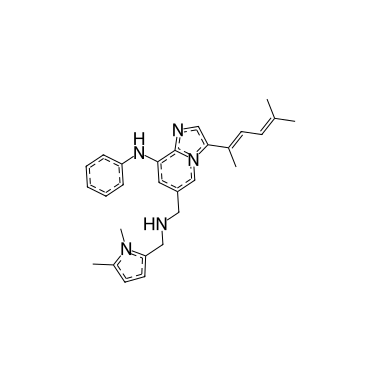 CC(C)=C/C=C(\C)c1cnc2c(Nc3ccccc3)cc(CNCc3ccc(C)n3C)cn12